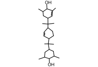 CC1=CC(C(C)(C)C2C=CC(C(C)(C)C3CC(C)C(O)C(C)C3)CC2)CC(C)C1O